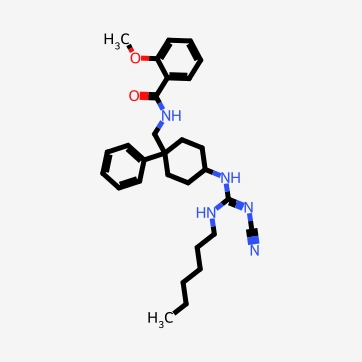 CCCCCCN/C(=N\C#N)NC1CCC(CNC(=O)c2ccccc2OC)(c2ccccc2)CC1